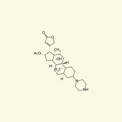 CC(=O)O[C@H]1C[C@]2(O)[C@@H]3CC[C@@H]4CC(N5CCNCC5)CC[C@]4(C)[C@H]3CC[C@]2(C)[C@H]1C1=CC(=O)OC1